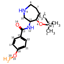 C[Si](C)(C)O[C@@H]1CCCNC[C@@H]1NC(=O)c1ccc(OP)cc1